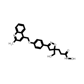 Cc1cc(COc2ccc(C3=NOC(CO)(CCC(=O)NO)C3)cc2)c2ccccc2n1